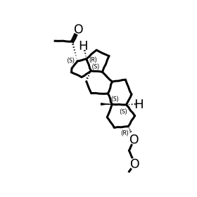 COCO[C@@H]1CC[C@]2(C)C3CC[C@]45CCC[C@H](C(C)=O)[C@H]4CCC5C3CC[C@H]2C1